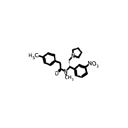 Cc1ccc(CC(=O)N(C)[C@H](CN2CCCC2)c2cccc([N+](=O)[O-])c2)cc1